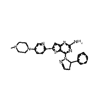 CN1CCN(c2ccc(-c3cc4nc(N)nc(N5N=CCC5c5ccccc5)c4s3)nc2)CC1